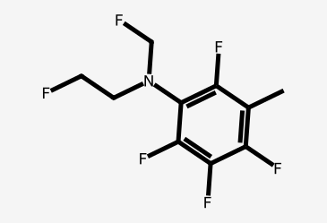 Cc1c(F)c(F)c(F)c(N(CF)CCF)c1F